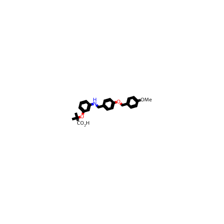 COc1ccc(COc2ccc(CNc3cccc(OC(C)(C)C(=O)O)c3)cc2)cc1